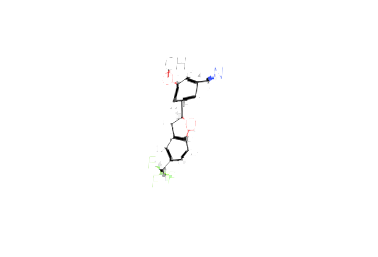 COc1cc(C#N)cc(C2Cc3cc(C(F)(F)F)ccc3O2)c1